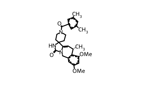 COc1cc2c(c(OC)c1)[C@@H](C)C=C1N(C2)C(=O)NC12CCN(C(=O)c1cc(C)cc(C)c1)CC2